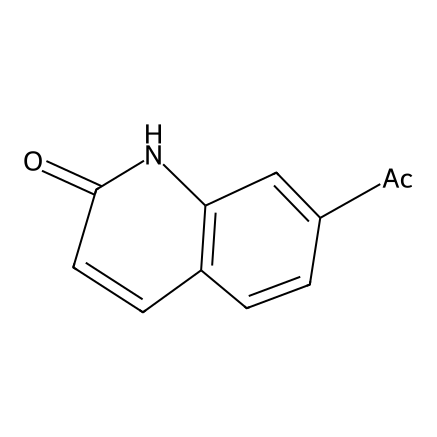 CC(=O)c1ccc2ccc(=O)[nH]c2c1